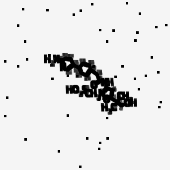 CC(C)(CO)c1cc(NC(=O)Cc2ccc(-c3ccc(N)nc3)cc2)no1.CS(=O)(=O)O